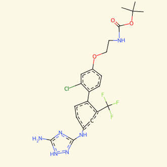 CC(C)(C)OC(=O)NCCOc1ccc(-c2ccc(Nc3n[nH]c(N)n3)cc2C(F)(F)F)c(Cl)c1